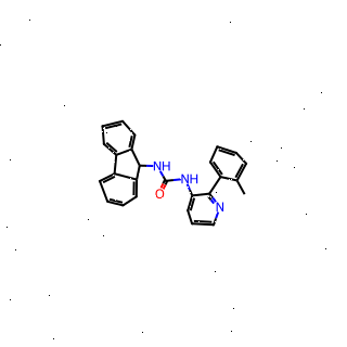 Cc1ccccc1-c1ncccc1NC(=O)NC1c2ccccc2-c2ccccc21